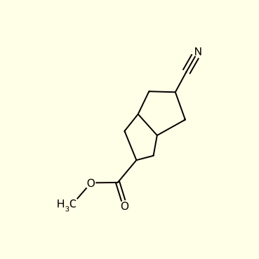 COC(=O)C1CC2CC(C#N)CC2C1